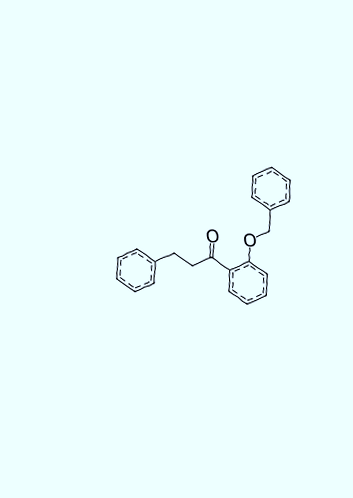 O=C(CCc1ccccc1)c1ccccc1OCc1ccccc1